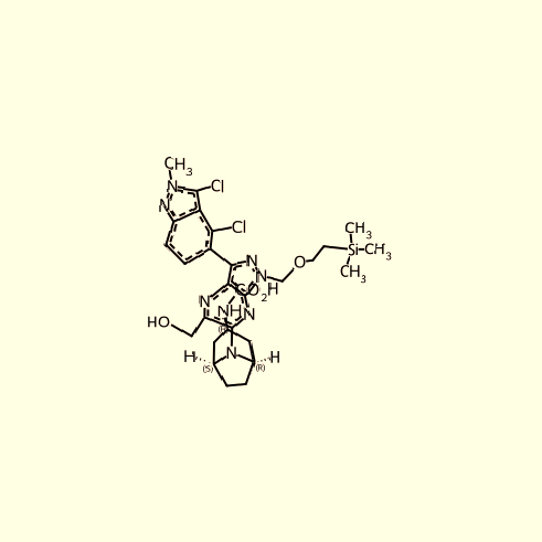 Cn1nc2ccc(-c3nn(COCC[Si](C)(C)C)c4nc(N5[C@@H]6CC[C@H]5C[C@@H](NC(=O)O)C6)c(CO)nc34)c(Cl)c2c1Cl